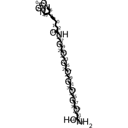 CS(=O)(=O)c1ncc(C#CCCCC(=O)NCCOCCOCCOCCOCCOCCOCCOCCOCCC(N)O)cn1